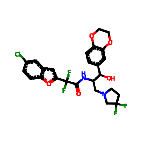 O=C(NC(CN1CCC(F)(F)C1)C(O)c1ccc2c(c1)OCCO2)C(F)(F)c1cc2cc(Cl)ccc2o1